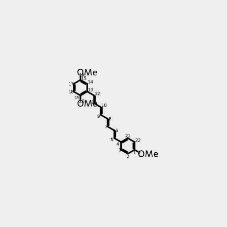 COc1ccc(/C=C/C=C/C=C/C=C/c2cc(OC)ccc2OC)cc1